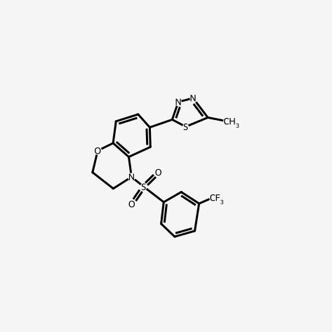 Cc1nnc(-c2ccc3c(c2)N(S(=O)(=O)c2cccc(C(F)(F)F)c2)CCO3)s1